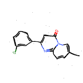 Cc1ccc2nc(-c3cccc(Cl)c3)cc(=O)n2c1